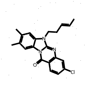 CC=CCCn1c2cc(C)c(C)cc2n2c(=O)c3ccc(Cl)cc3nc12